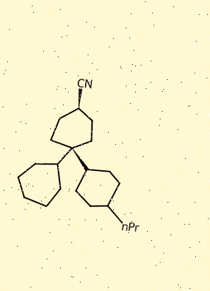 CCCC1CCC([C@]2(C3CCCCC3)CC[C@H](C#N)CC2)CC1